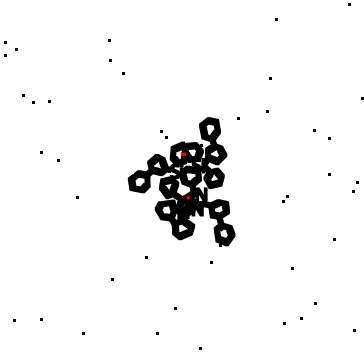 c1ccc(-c2cccc(-c3nc(-c4cc([Si](c5ccccc5)(c5ccccc5)c5cccc(-c6ccccc6)c5)cc([Si](c5ccccc5)(c5cccc(-c6ccccc6)c5)c5cccc(-c6ccccc6)c5)c4)cc(-n4c5ccccc5c5ccccc54)n3)c2)cc1